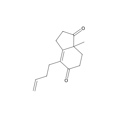 C=CCCC1=C2CCC(=O)C2(C)CCC1=O